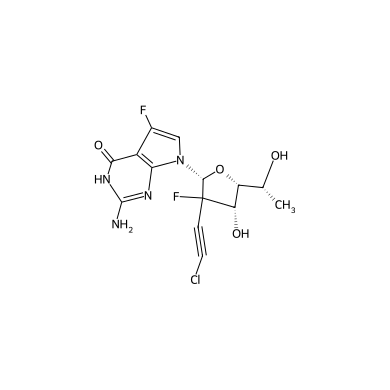 C[C@@H](O)[C@H]1O[C@@H](n2cc(F)c3c(=O)[nH]c(N)nc32)C(F)(C#CCl)[C@H]1O